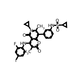 Cc1c(Nc2ccc(I)cc2F)c2c(=O)n(C3CC3)c(C)c(-c3cccc(NS(=O)(=O)C4CC4)c3)c2oc1=O